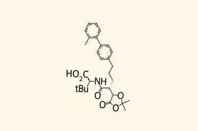 Cc1ccccc1-c1ccc(CCC[C@@H](C(=O)N[C@H](C(=O)O)C(C)(C)C)C2OC(C)(C)OC2=O)cc1